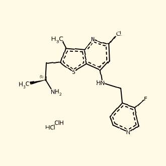 Cc1c(C[C@H](C)N)sc2c(NCc3ccncc3F)cc(Cl)nc12.Cl.Cl